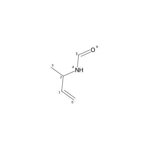 C=CC(C)N[C]=O